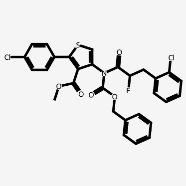 COC(=O)c1c(N(C(=O)OCc2ccccc2)C(=O)C(F)Cc2ccccc2Cl)csc1-c1ccc(Cl)cc1